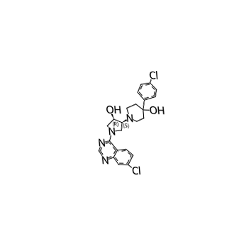 O[C@@H]1CN(c2ncnc3cc(Cl)ccc23)C[C@@H]1N1CCC(O)(c2ccc(Cl)cc2)CC1